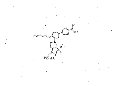 CCN(CC)c1ccc(-c2cc(-c3ccc(C(=O)O)cc3)ccc2OCCCO)cc1C(F)(F)F